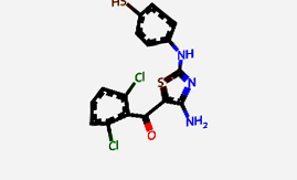 Nc1nc(Nc2ccc(S)cc2)sc1C(=O)c1c(Cl)cccc1Cl